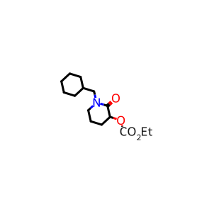 CCOC(=O)OC1CCCN(CC2CCCCC2)C1=O